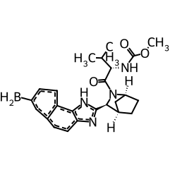 Bc1ccc2c(ccc3nc([C@@H]4[C@@H]5CC[C@@H](C5)N4C(=O)[C@@H](NC(=O)OC)C(C)C)[nH]c32)c1